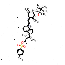 C=C1/C(=C\C=C2/CCC[C@]3(C)[C@@H]([C@H](C)CCOS(=O)(=O)c4ccc(C)cc4)CC[C@@H]23)C[C@@H](C)C[C@@H]1O[Si](C)(C)C(C)(C)C